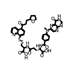 CN(c1ccc(C(=O)N[C@@H](CCC(=O)NC(CSSc2ccc(C(=O)CCC3CCCO3)c3cccnc23)C(=O)O)C(=O)O)cc1)c1cnc2nc[nH]c(=O)c2n1